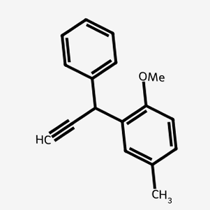 C#CC(c1ccccc1)c1cc(C)ccc1OC